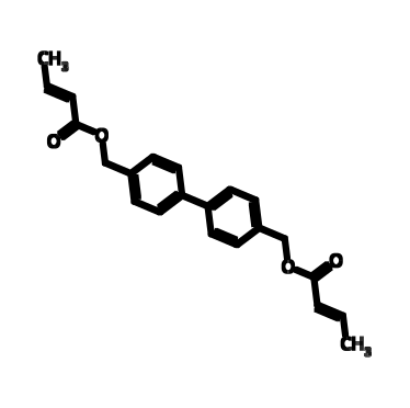 CC=CC(=O)OCc1ccc(-c2ccc(COC(=O)C=CC)cc2)cc1